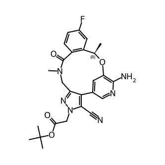 C[C@H]1Oc2cc(cnc2N)-c2c(nn(CC(=O)OC(C)(C)C)c2C#N)CN(C)C(=O)c2ccc(F)cc21